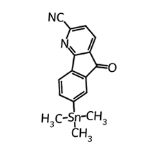 [CH3][Sn]([CH3])([CH3])[c]1ccc2c(c1)C(=O)c1ccc(C#N)nc1-2